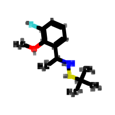 COc1c(F)cccc1C(C)NSC(C)(C)C